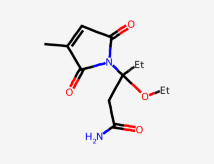 CCOC(CC)(CC(N)=O)N1C(=O)C=C(C)C1=O